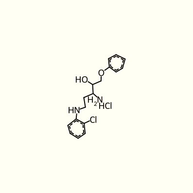 Cl.NC(CCNc1ccccc1Cl)C(O)COc1ccccc1